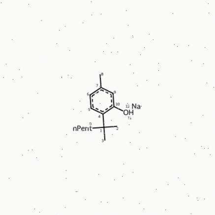 CCCCCC(C)(C)c1ccc(C)cc1O.[Na]